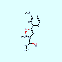 COc1cccc(-c2cc(C(O)CC(C)C)c(C)o2)c1